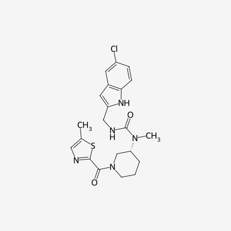 Cc1cnc(C(=O)N2CCC[C@@H](N(C)C(=O)NCc3cc4cc(Cl)ccc4[nH]3)C2)s1